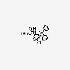 CC(C)(C)OC(=O)Nc1cnc(Cl)c(F)c1N=C(c1ccccc1)c1ccccc1